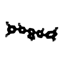 Fc1cc(F)cc(-c2ccc(-c3ccc(-c4ccc(-c5cc(F)cc(F)c5)c(F)c4)c4nsnc34)cc2F)c1